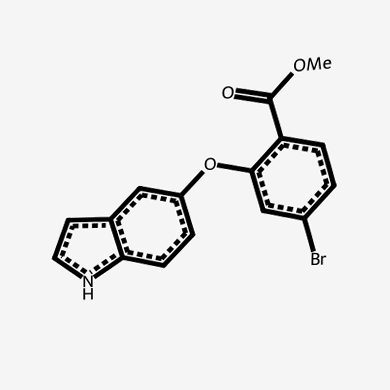 COC(=O)c1ccc(Br)cc1Oc1ccc2[nH]ccc2c1